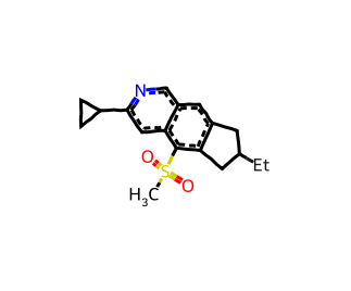 CCC1Cc2cc3cnc(C4CC4)cc3c(S(C)(=O)=O)c2C1